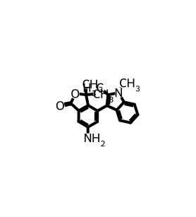 Cc1c(-c2cc(N)cc3c2C(C)(C)OC3=O)c2ccccc2n1C